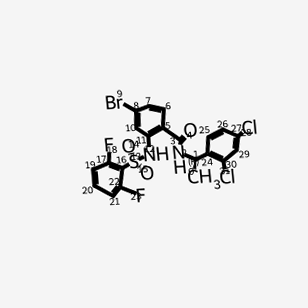 C[C@@H](NC(=O)c1ccc(Br)cc1NS(=O)(=O)c1c(F)cccc1F)c1ccc(Cl)cc1Cl